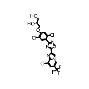 OC[C@@H](O)COc1cc(Cl)c(-c2noc(-c3cn4cc(C(F)(F)F)cc(Cl)c4n3)n2)cc1Cl